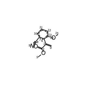 C=C(C(=O)OC)c1c(C#N)cccc1OC